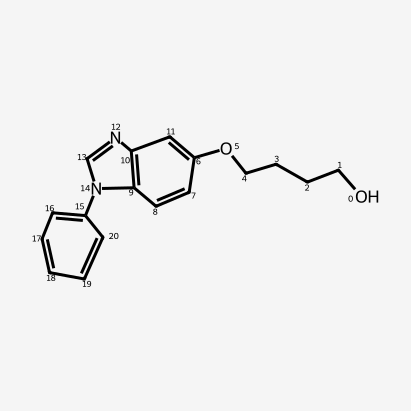 OCCCCOc1ccc2c(c1)ncn2-c1ccccc1